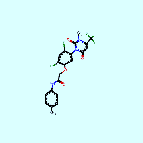 Cc1ccc(NC(=O)COc2cc(-n3c(=O)cc(C(F)(F)F)n(C)c3=O)c(F)cc2Cl)cc1